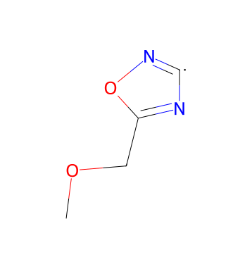 COCc1n[c]no1